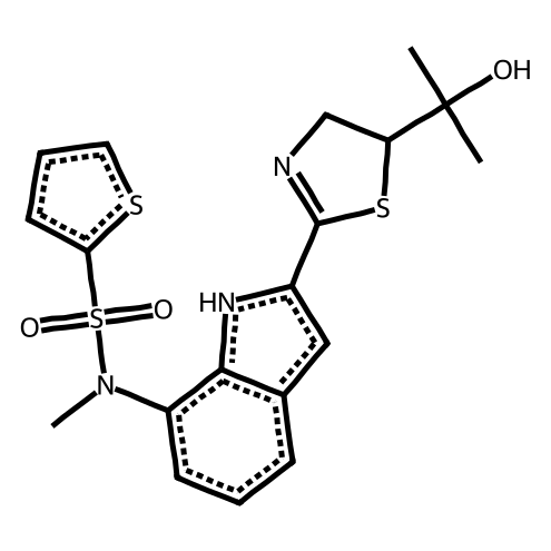 CN(c1cccc2cc(C3=NCC(C(C)(C)O)S3)[nH]c12)S(=O)(=O)c1cccs1